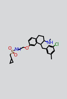 CNC1CCc2ccc(OCCNS(=O)(=O)CC3CC3)cc2C1Cc1cc(C)cc(Cl)c1